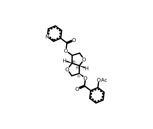 CC(=O)Oc1ccccc1C(=O)O[C@H]1CO[C@@H]2C(OC(=O)c3cccnc3)CO[C@H]12